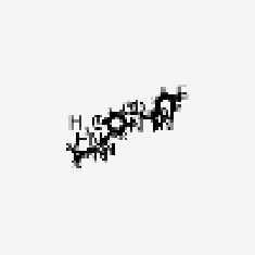 Cc1cc(Cl)c(NC(=O)c2cnn3cc(F)ccc23)cc1-c1nnc(C2CC2)[nH]1